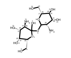 N[C@@H]1C(OC2(O)O[C@H](CO)[C@H](O)[C@H](O)[C@H]2N)O[C@H](CO)[C@@H](O)[C@@H]1O